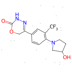 O=C1NN=C(c2ccc(N3CCC(O)C3)c(C(F)(F)F)c2)CO1